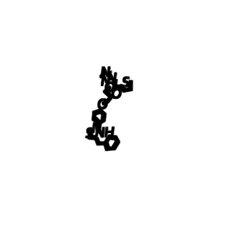 C1=C(Cc2ccccc2)NN(c2ccc(OCC3COC(Cn4cncn4)(c4cccs4)O3)cc2)S1